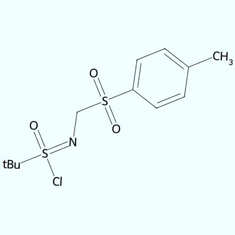 Cc1ccc(S(=O)(=O)CN=S(=O)(Cl)C(C)(C)C)cc1